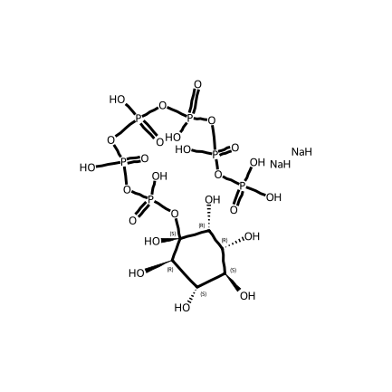 O=P(O)(O)OP(=O)(O)OP(=O)(O)OP(=O)(O)OP(=O)(O)OP(=O)(O)O[C@]1(O)[C@H](O)[C@H](O)[C@@H](O)[C@H](O)[C@H]1O.[NaH].[NaH]